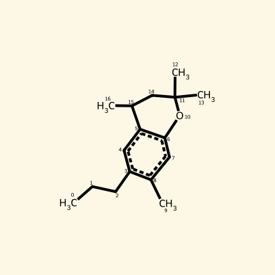 CCCc1cc2c(cc1C)OC(C)(C)CC2C